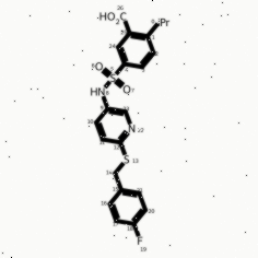 CC(C)c1ccc(S(=O)(=O)Nc2ccc(SCc3ccc(F)cc3)nc2)cc1C(=O)O